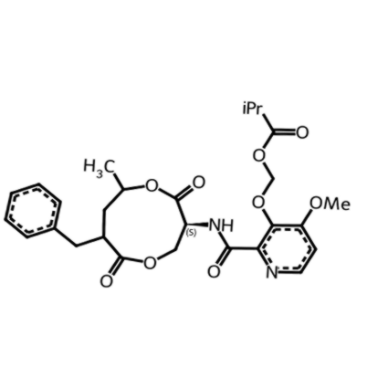 COc1ccnc(C(=O)N[C@H]2COC(=O)C(Cc3ccccc3)CC(C)OC2=O)c1OCOC(=O)C(C)C